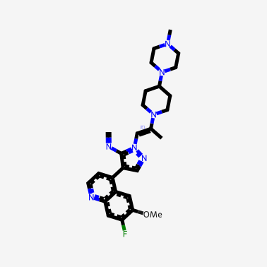 C=Nc1c(-c2ccnc3cc(F)c(OC)cc23)cnn1/C=C(\C)N1CCC(N2CCN(C)CC2)CC1